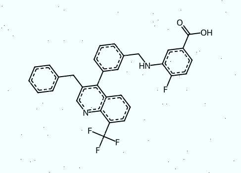 O=C(O)c1ccc(F)c(NCc2cccc(-c3c(Cc4ccccc4)cnc4c(C(F)(F)F)cccc34)c2)c1